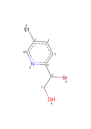 CCc1ccc(C(Br)CO)nc1